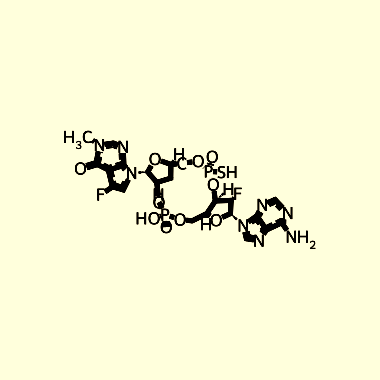 Cn1cnc2c(c(F)cn2[C@@H]2O[C@@H]3COP(=O)(S)O[C@H]4[C@@H](F)[C@H](n5cnc6c(N)ncnc65)O[C@@H]4COP(=O)(O)O[C@@H]2C3)c1=O